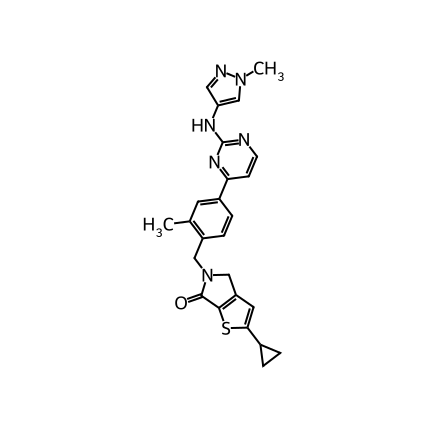 Cc1cc(-c2ccnc(Nc3cnn(C)c3)n2)ccc1CN1Cc2cc(C3CC3)sc2C1=O